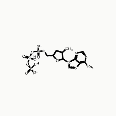 CC1CC(COP(=O)(O)OP(=O)(O)OP(=O)(O)O)OC1n1cnc2c(N)ncnc21